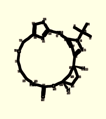 CC(C)(C)n1nc2cc1Nc1nc(cs1)COCCCNC(=O)O[C@@H]1CC[C@H]2C1